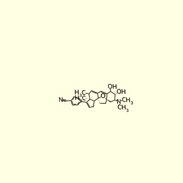 CC1C=C2C=C3[C@@H](O)[C@H](O)[C@@H](N(C)C)C[C@]34CC[C@]2(O4)C2CC=C(c3ccc(C#N)cc3)[C@@]12C